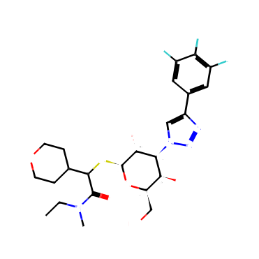 CCN(C)C(=O)C(S[C@@H]1O[C@H](CO)[C@H](O)[C@H](n2cc(-c3cc(F)c(F)c(F)c3)nn2)[C@H]1O)C1CCOCC1